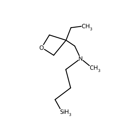 CCC1(CN(C)CCC[SiH3])COC1